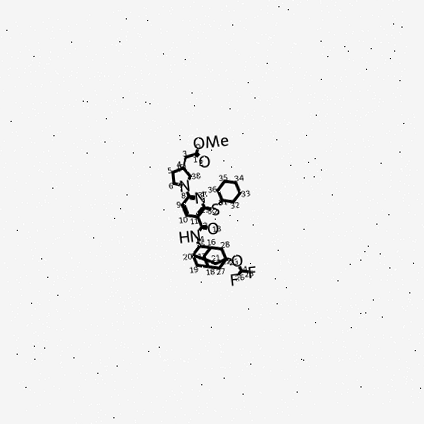 COC(=O)C[C@@H]1CCN(c2ccc(C(=O)NC3C4CC5CC3CC(OC(F)F)(C5)C4)c(SC3CCCCC3)n2)C1